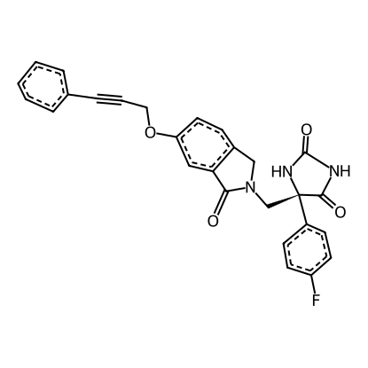 O=C1NC(=O)[C@](CN2Cc3ccc(OCC#Cc4ccccc4)cc3C2=O)(c2ccc(F)cc2)N1